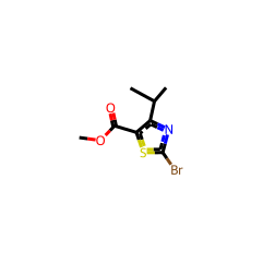 COC(=O)c1sc(Br)nc1C(C)C